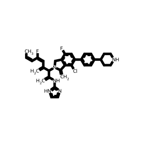 C=C(/C=C(F)\C=C/C)C(C(=C)Nc1ncc[nH]1)N1Cc2c(F)cc(-c3ccc(C4CCNCC4)cc3)c(Cl)c2C1=C